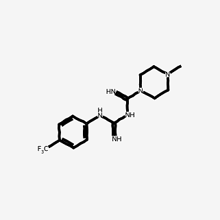 CN1CCN(C(=N)NC(=N)Nc2ccc(C(F)(F)F)cc2)CC1